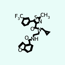 Cc1nc(C(=O)N(CCNC(=O)c2cccc3occc23)CC2CC2)c(-c2cccc(C(F)(F)F)c2)s1